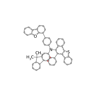 CC1(C)c2ccccc2-c2ccc(N(c3ccc(-c4cccc5c4oc4ccccc45)cc3)c3c(-c4ccccc4)c4c5ccccc5sc4c4ccccc34)cc21